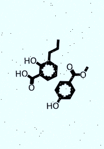 CCCc1cccc(C(=O)O)c1O.COC(=O)c1ccc(O)cc1